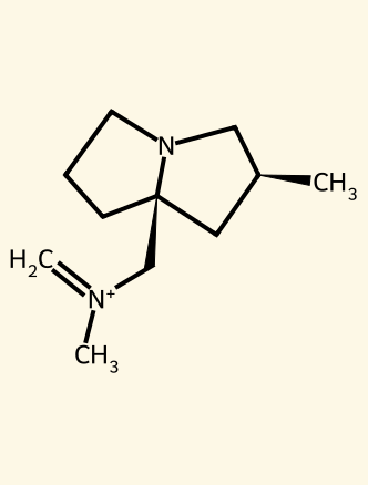 C=[N+](C)C[C@@]12CCCN1C[C@@H](C)C2